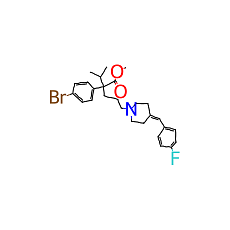 COC(=O)C(CCCN1CCC(=Cc2ccc(F)cc2)CC1)(c1ccc(Br)cc1)C(C)C